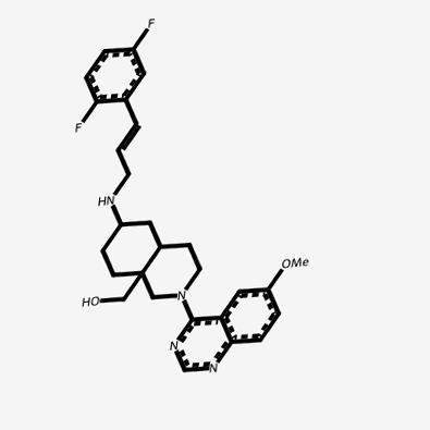 COc1ccc2ncnc(N3CCC4CC(NC/C=C/c5cc(F)ccc5F)CCC4(CO)C3)c2c1